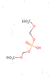 CCOC(=O)OCOP(=O)(O)OCOC(=O)OCC